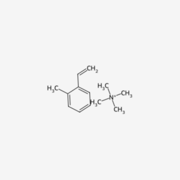 C=Cc1ccccc1C.C[N+](C)(C)C